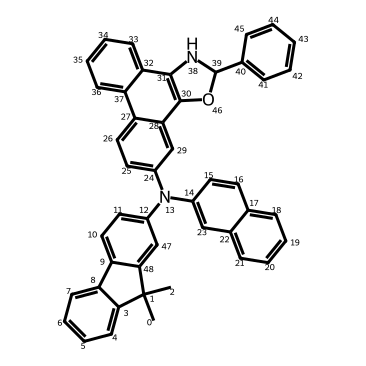 CC1(C)c2ccccc2-c2ccc(N(c3ccc4ccccc4c3)c3ccc4c(c3)c3c(c5ccccc54)NC(c4ccccc4)O3)cc21